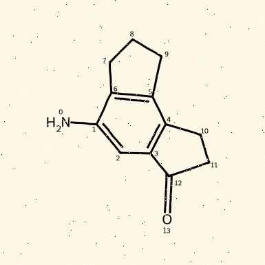 Nc1cc2c(c3c1CCC3)CCC2=O